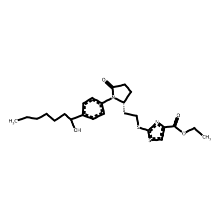 CCCCCCC(O)c1ccc(N2C(=O)CC[C@@H]2CCSc2nc(C(=O)OCC)cs2)cc1